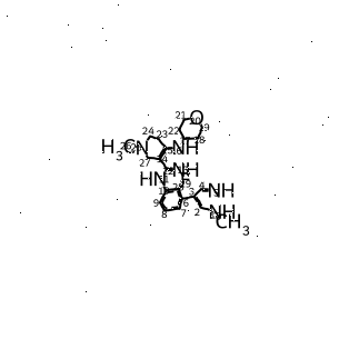 CN/C=C(\C=N)c1cccc(NC(=N)C2=C(NC3CCOCC3)CCN(C)C2)c1F